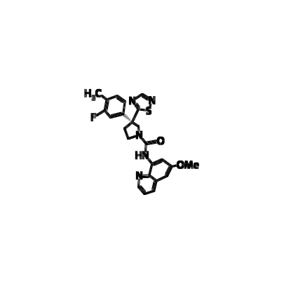 COc1cc(NC(=O)N2CC[C@@](c3ccc(C)c(F)c3)(c3ncns3)C2)c2ncccc2c1